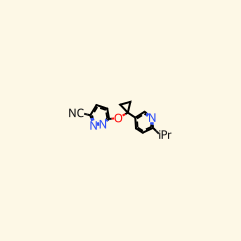 CC(C)c1ccc(C2(Oc3ccc(C#N)nn3)CC2)cn1